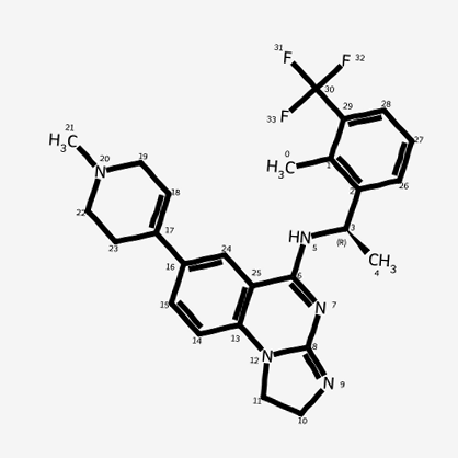 Cc1c([C@@H](C)NC2=NC3=NCCN3c3ccc(C4=CCN(C)CC4)cc32)cccc1C(F)(F)F